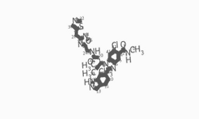 CNC(=O)c1cc2nc(-c3ccc4cn[nH]c4c3)n([C@@H](CC(=O)NCc3nc(Cc4cncs4)no3)C(C)(C)C)c2cc1Cl